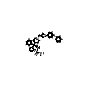 CNC(=O)O[C@H]1CCCC1C(C#N)(c1ccccc1)C1CCN(CC2CN(c3ccc(Sc4ccccc4)cc3)C2)CC1